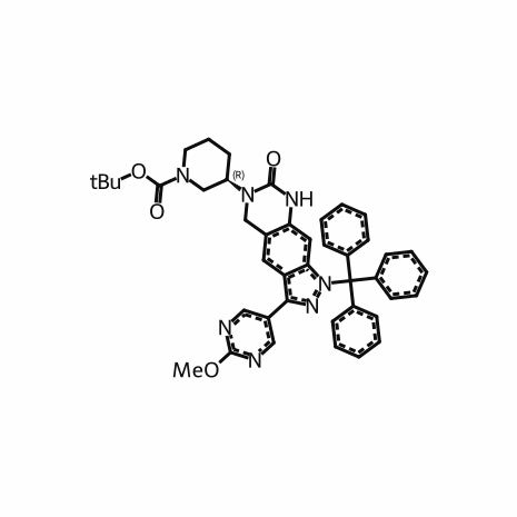 COc1ncc(-c2nn(C(c3ccccc3)(c3ccccc3)c3ccccc3)c3cc4c(cc23)CN([C@@H]2CCCN(C(=O)OC(C)(C)C)C2)C(=O)N4)cn1